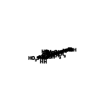 COc1cc(N=Nc2ccc(N=Nc3ccc(SOOO)cc3)cc2)c(C)cc1N=Nc1cc(OC)c(N=Nc2c(SOOO)cc3cc(Nc4nc(O)nc(Nc5cccc(S(=O)(=O)O)c5)n4)ccc3c2O)cc1C